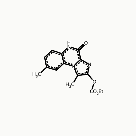 CCOC(=O)Oc1nc2c(=O)[nH]c3ccc(C)cc3n2c1C